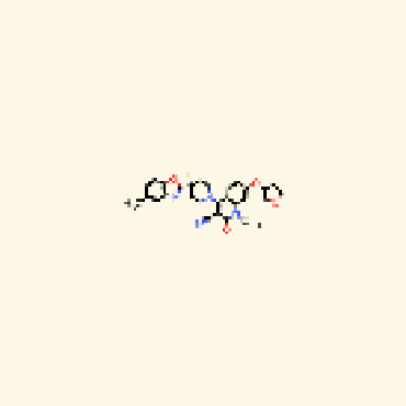 Cc1ccc2oc(C3(F)CCN(c4c(C#N)c(=O)n(C)c5cc(OC6CCOC6)ccc45)CC3)nc2c1